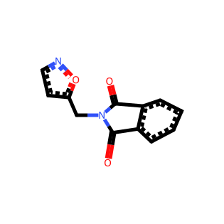 O=C1c2ccccc2C(=O)N1Cc1ccno1